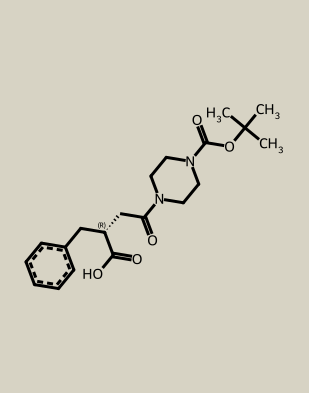 CC(C)(C)OC(=O)N1CCN(C(=O)C[C@@H](Cc2ccccc2)C(=O)O)CC1